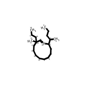 CCCC(C)C1CCCCCCCCC(C)(CCC)/C=N/1